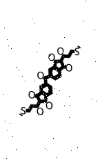 CSCCC(=O)C1C(=O)c2ccc(C(=O)c3ccc4c(c3)C(=O)C(C(=O)CCSC)C4=O)cc2C1=O